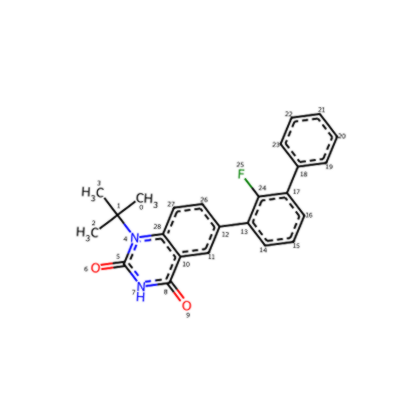 CC(C)(C)n1c(=O)[nH]c(=O)c2cc(-c3cccc(-c4ccccc4)c3F)ccc21